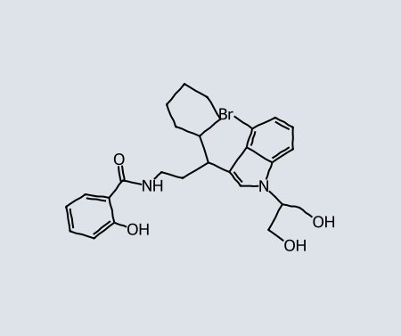 O=C(NCCC(c1cn(C(CO)CO)c2cccc(Br)c12)C1CCCCC1)c1ccccc1O